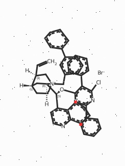 C=C[C@H]1C[N+]2(Cc3cccc(-c4ccccc4)c3)CC[C@H]1C[C@@H]2[C@@H](Oc1nc(-c2ccccc2)nc(Cl)c1-c1ccccc1)c1ccnc2ccccc12.[Br-]